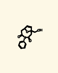 O=C1CC2C=CC(CO)(CC(=O)N1c1ccccc1)O2